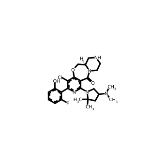 CN(C)C1CN(c2nc(-c3c(O)cccc3F)c(Cl)c3c2C(=O)N2CCNC[C@@H]2CO3)C(C)(C)C1